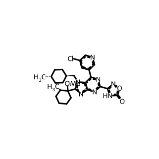 COC1(c2nc3nc(-c4noc(=O)[nH]4)nc(-c4cncc(Cl)c4)c3n2C[C@H]2CC[C@H](C)CC2)CCCCC1C